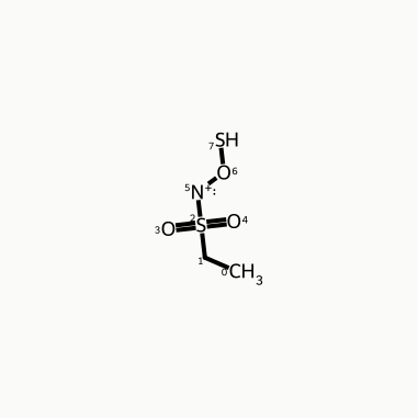 CCS(=O)(=O)[N+]OS